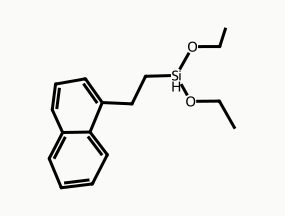 CCO[SiH](CCc1cccc2ccccc12)OCC